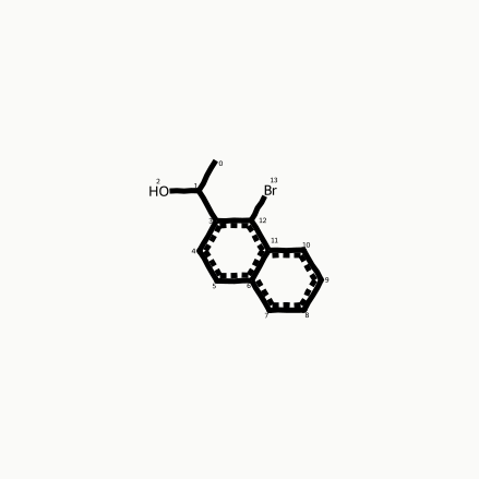 CC(O)c1ccc2ccccc2c1Br